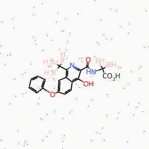 BC(B)(NC(=O)c1nc(C(B)(B)B)c2cc(Oc3ccccc3)ccc2c1O)C(=O)O